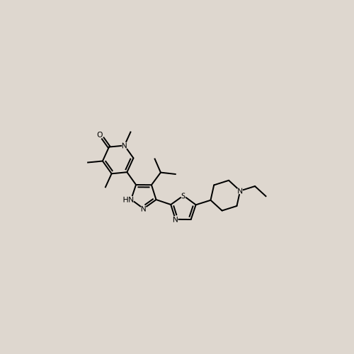 CCN1CCC(c2cnc(-c3n[nH]c(-c4cn(C)c(=O)c(C)c4C)c3C(C)C)s2)CC1